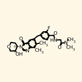 Cc1c(Cc2ccc(C(=O)NCC(=O)N(C)C)c(F)c2)cc2c(=O)n([C@H]3CCOC[C@@H]3O)cnc2c1C